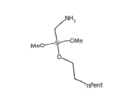 CCCCCCCO[Si](CN)(OC)OC